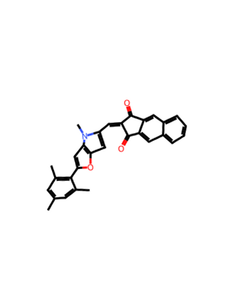 Cc1cc(C)c(-c2cc3c(cc(C=C4C(=O)c5cc6ccccc6cc5C4=O)n3C)o2)c(C)c1